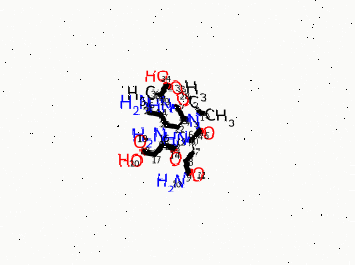 CC(C)N(C(=O)[C@H](CCC(N)=O)NC(=O)[C@@H](N)CC(=O)O)[C@@H](CCCCN)C(=O)N[C@@H](C)C(=O)O